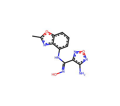 Cc1nc2c(N/C(=N\O)c3nonc3N)cccc2o1